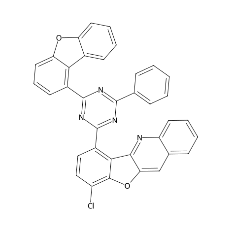 Clc1ccc(-c2nc(-c3ccccc3)nc(-c3cccc4oc5ccccc5c34)n2)c2c1oc1cc3ccccc3nc12